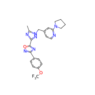 Cc1nc(-c2nc(-c3ccc(OC(F)(F)F)cc3)no2)nn1Cc1ccnc(N2CCCC2)c1